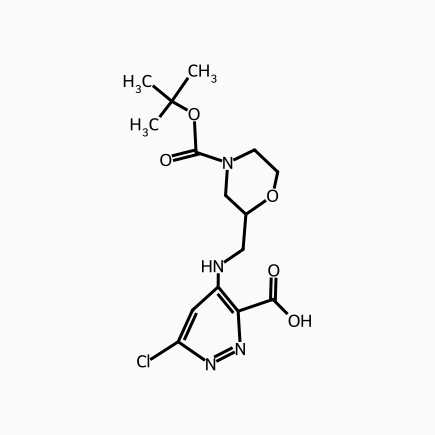 CC(C)(C)OC(=O)N1CCOC(CNc2cc(Cl)nnc2C(=O)O)C1